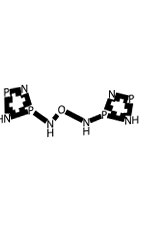 n1p[nH]p1NONp1np[nH]1